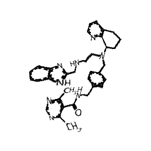 Cc1ncnc(C)c1C(=O)NCc1ccc(CN(CCNCc2nc3ccccc3[nH]2)C2CCCc3cccnc32)cc1